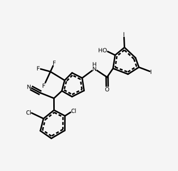 N#CC(c1ccc(NC(=O)c2cc(I)cc(I)c2O)cc1C(F)(F)F)c1c(Cl)cccc1Cl